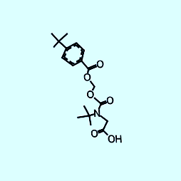 CC(C)(C)c1ccc(C(=O)OCOC(=O)N(CC(=O)O)C(C)(C)C)cc1